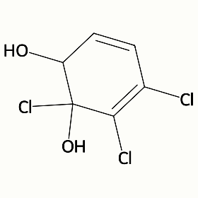 OC1C=CC(Cl)=C(Cl)C1(O)Cl